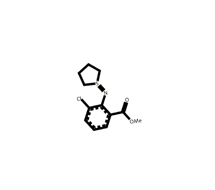 COC(=O)c1cccc(Cl)c1N=S1CCCC1